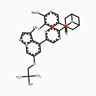 COc1ncc(C(=O)N2C3CC2CN(c2cnc(-c4cc(OCC(C)(C)O)cn5ncc(C#N)c45)cn2)C3)cc1F